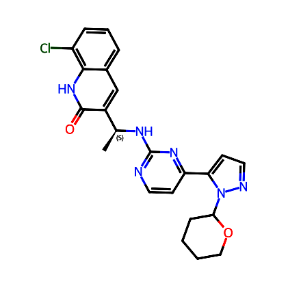 C[C@H](Nc1nccc(-c2ccnn2C2CCCCO2)n1)c1cc2cccc(Cl)c2[nH]c1=O